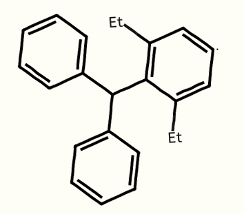 CCc1c[c]cc(CC)c1C(c1ccccc1)c1ccccc1